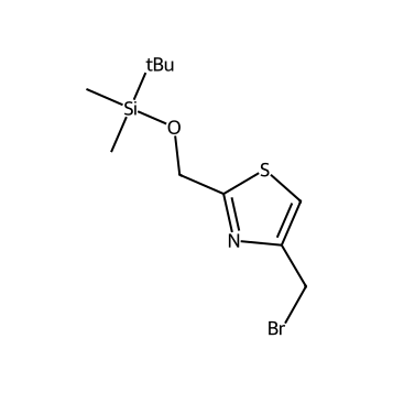 CC(C)(C)[Si](C)(C)OCc1nc(CBr)cs1